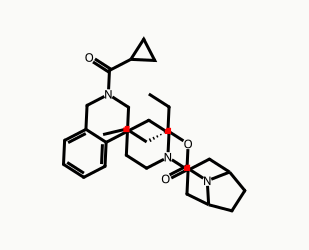 CCC[C@H](CC)OC(=O)N1C2CCC1CC(N1CCC3(CC1)CN(C(=O)C1CC1)Cc1ccccc13)C2